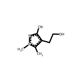 Cc1c(CCO)c(C#N)nn1C